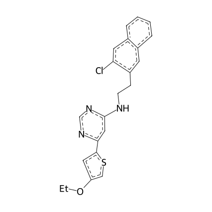 CCOc1csc(-c2cc(NCCc3cc4ccccc4cc3Cl)ncn2)c1